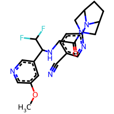 COc1cncc(C(NCC(=O)N2CC3CCC(C2)N3c2ccc(C#N)cn2)C(F)F)c1